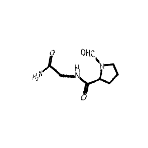 NC(=O)CNC(=O)C1CCCN1C=O